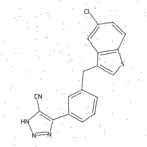 N#Cc1[nH]nnc1-c1cccc(Cc2csc3ccc(Cl)cc23)c1